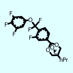 CCCC12COC(c3ccc(C(F)(F)Oc4cc(F)c(F)c(F)c4)c(F)c3)(OC1)OC2